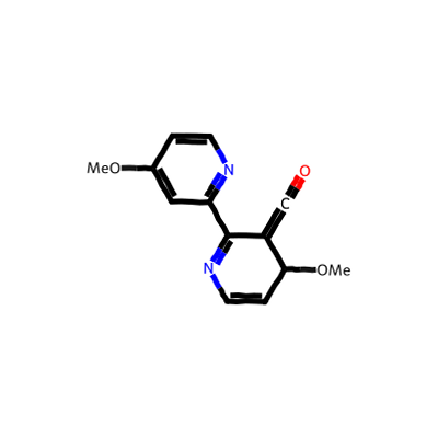 COc1ccnc(C2=NC=CC(OC)C2=C=O)c1